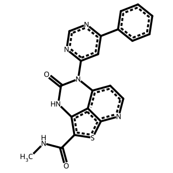 CNC(=O)c1sc2nccc3c2c1NC(=O)N3c1cc(-c2ccccc2)ncn1